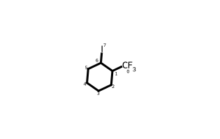 FC(F)(F)C1CCCCC1I